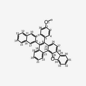 COc1ccc(-c2c(-c3ccc4ccccc4c3)c3ccccc3c3c2ccc2c4ccccc4oc23)cc1